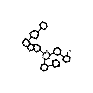 N#Cc1ccccc1-c1cccc(-c2nc(-c3ccc4c(c3)oc3cccc(-c5ccc(-c6ccccc6)cc5)c34)nc(-c3ccccc3-c3ccccc3)n2)c1